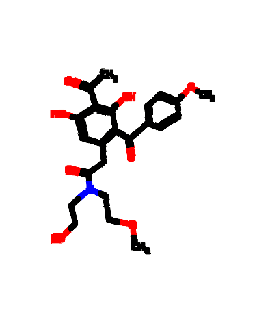 COCCN(CCO)C(=O)Cc1cc(O)c(C(C)=O)c(O)c1C(=O)c1ccc(OC)cc1